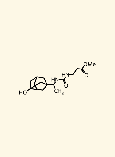 COC(=O)CCNC(=O)NC(C)C12CC3CC(C1)C(O)(C3)C2